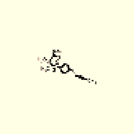 CC#CCOc1ccc(S(=O)(=O)N(C)[C@H](C)C(=O)OC)cc1